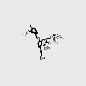 CC(C)(C)OC(=O)N(CCO[Si](C)(C)C(C)(C)C)Cc1cc(C#CCCO)ccc1OCc1ccc(F)c(C(F)(F)F)c1